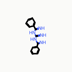 N=C(NC(=N)c1ccccc1)NC(=N)c1ccccc1